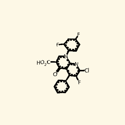 O=C(O)c1cn(-c2ccc(F)cc2F)c2nc(Cl)c(F)c(-c3ccccc3)c2c1=O